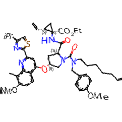 C=CCCCCCN(Cc1ccc(OC)cc1)C(=O)N1C[C@H](Oc2cc(-c3nc(C(C)C)cs3)nc3c(C)c(OC)ccc23)C[C@H]1C(=O)N[C@]1(C(=O)OCC)C[C@H]1C=C